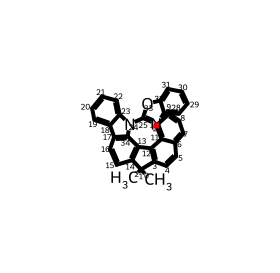 CC1(C)c2ccc3ccccc3c2-c2c1ccc1c3ccccc3n(-c3nc4ccccc4o3)c21